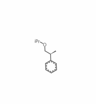 CC(C)OC[C@@H](C)c1ccccc1